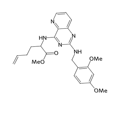 C=CCCC(Nc1nc(NCc2ccc(OC)cc2OC)nc2cccnc12)C(=O)OC